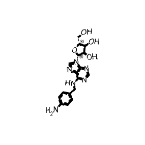 Nc1ccc(CNc2ncnc3c2ncn3[C@@H]2O[C@H](CO)C(O)C2O)cc1